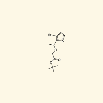 CC(OCC(=O)OC(C)(C)C)c1sccc1Br